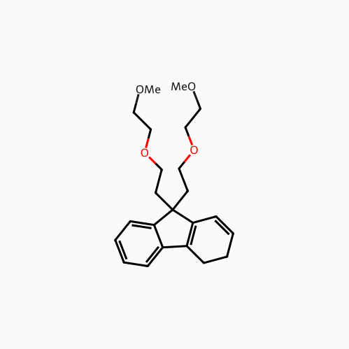 COCCOCCC1(CCOCCOC)C2=C(CCC=C2)c2ccccc21